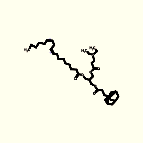 CCCCC/C=C\C/C=C\CCCCCCCC(=O)OCC(COC(=O)CCN(CC)CC)COC(=O)CCC12CC3CC(CC(C3)C1)C2